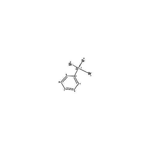 [Br][Zr]([Br])([Br])[c]1ccccc1